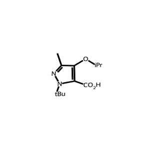 Cc1nn(C(C)(C)C)c(C(=O)O)c1OC(C)C